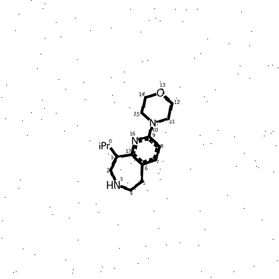 CC(C)C1CNCCc2ccc(N3CCOCC3)nc21